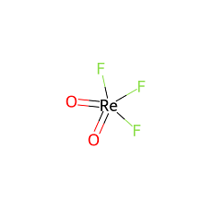 [O]=[Re](=[O])([F])([F])[F]